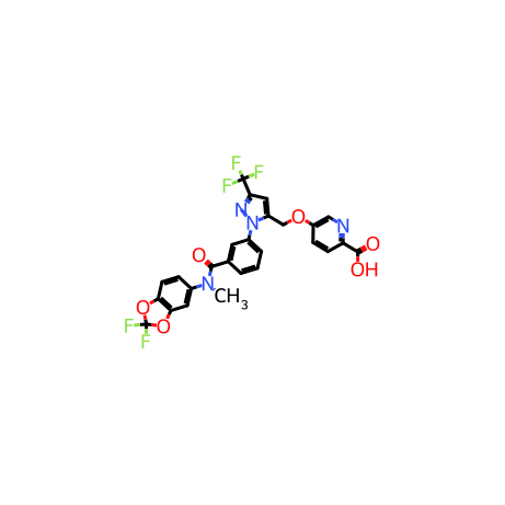 CN(C(=O)c1cccc(-n2nc(C(F)(F)F)cc2COc2ccc(C(=O)O)nc2)c1)c1ccc2c(c1)OC(F)(F)O2